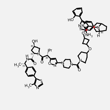 Cc1ncsc1-c1ccc([C@H](C)NC(=O)[C@@H]2C[C@@H](O)CN2C(=O)[C@@H](c2cc(N3CCN(C(=O)N4CCC(OC5CC(Oc6cc(N7C8CC[C@@H]7CN(c7cc(-c9ccccc9O)nnc7N)C8)ccn6)C5)CC4)CC3)no2)C(C)C)cc1